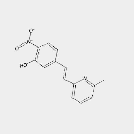 Cc1cccc(C=Cc2ccc([N+](=O)[O-])c(O)c2)n1